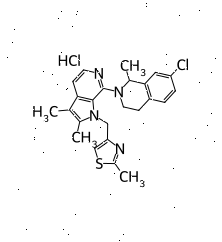 Cc1nc(Cn2c(C)c(C)c3ccnc(N4CCc5ccc(Cl)cc5C4C)c32)cs1.Cl